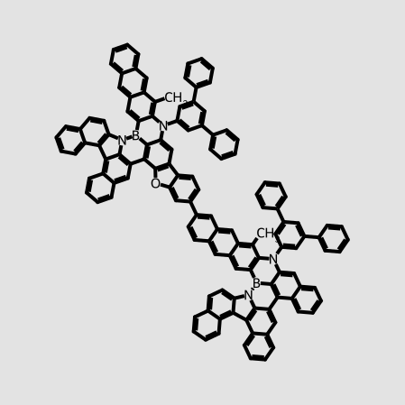 Cc1c2c(cc3cc4ccc(-c5ccc6c(c5)oc5c7c8c(cc56)N(c5cc(-c6ccccc6)cc(-c6ccccc6)c5)c5c(cc6cc9ccccc9cc6c5C)B8n5c6ccc8ccccc8c6c6c8ccccc8cc-7c65)cc4cc13)B1c3c(cc4ccccc4c3-c3cc4ccccc4c4c5c6ccccc6ccc5n1c34)N2c1cc(-c2ccccc2)cc(-c2ccccc2)c1